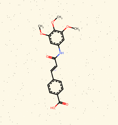 COc1cc(NC(=O)/C=C/c2ccc(C(=O)O)cc2)cc(OC)c1OC